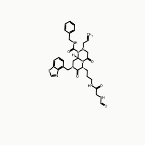 C=CCN1CC(=O)N2[C@@H](CCCNC(=O)CNC=O)C(=O)N(Cc3cccc4scnc34)C[C@@H]2N1C(=O)NCc1ccccc1